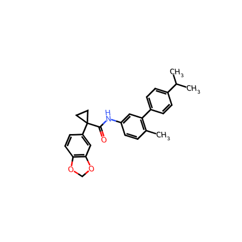 Cc1ccc(NC(=O)C2(c3ccc4c(c3)OCO4)CC2)cc1-c1ccc(C(C)C)cc1